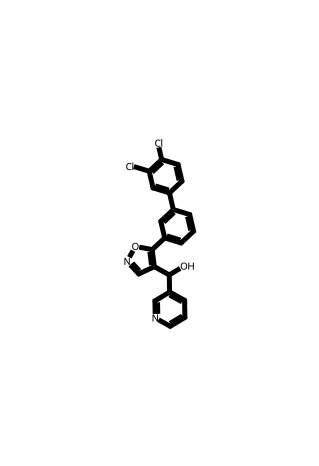 OC(c1cccnc1)c1cnoc1-c1cccc(-c2ccc(Cl)c(Cl)c2)c1